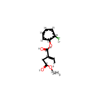 CC=C(CC(=O)O[SiH3])C(=O)Oc1ccccc1F